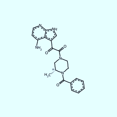 C[C@@H]1CN(C(=O)C(=O)c2c[nH]c3nccc(N)c23)CCN1C(=O)c1ccccc1